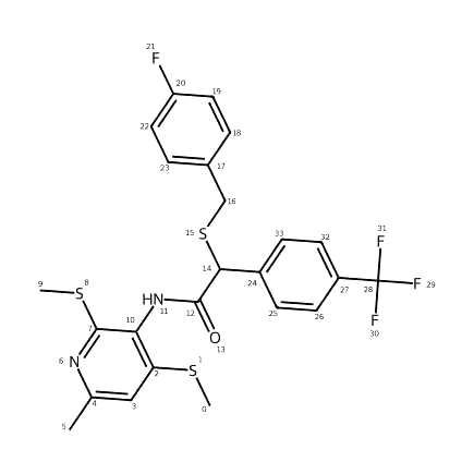 CSc1cc(C)nc(SC)c1NC(=O)C(SCc1ccc(F)cc1)c1ccc(C(F)(F)F)cc1